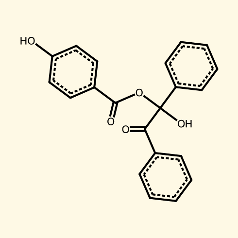 O=C(OC(O)(C(=O)c1ccccc1)c1ccccc1)c1ccc(O)cc1